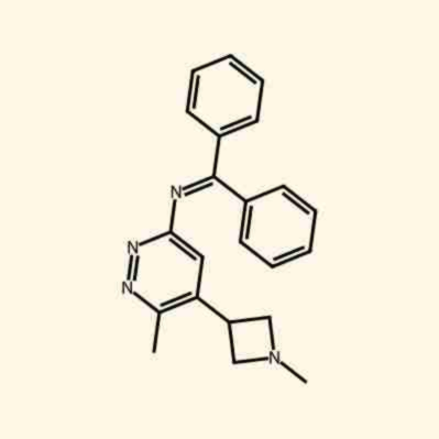 Cc1nnc(N=C(c2ccccc2)c2ccccc2)cc1C1CN(C)C1